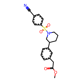 COC(=O)Cc1cccc(C2CCCN(S(=O)(=O)c3ccc(C#N)cc3)C2)c1